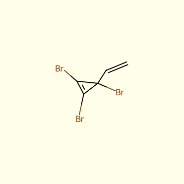 C=CC1(Br)C(Br)=C1Br